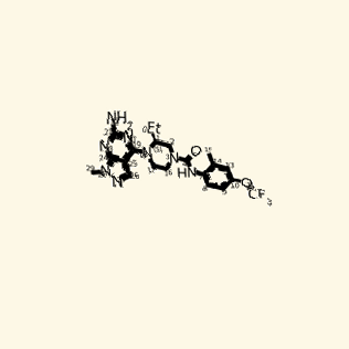 CC[C@H]1CN(C(=O)Nc2ccc(OC(F)(F)F)cc2C)CCN1c1nc(N)nc2c1cnn2C